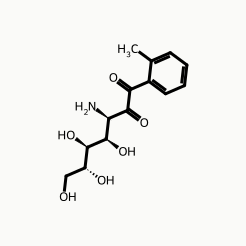 Cc1ccccc1C(=O)C(=O)[C@H](N)[C@@H](O)[C@H](O)[C@H](O)CO